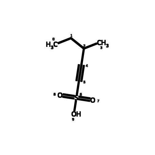 CCC(C)C#CS(=O)(=O)O